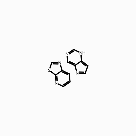 c1cc2[nH]cncc-2n1.c1cnc2scnc2c1